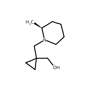 C[C@H]1CCCCN1CC1(CO)CC1